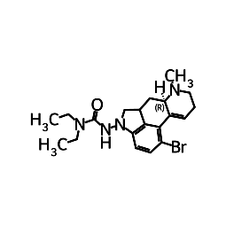 CCN(CC)C(=O)NN1CC2C[C@@H]3C(=CCCN3C)c3c(Br)ccc1c32